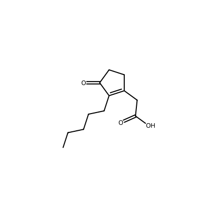 CCCCCC1=C(CC(=O)O)CCC1=O